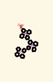 [O-]B([O-])[O-].c1ccc([P+](c2ccccc2)(c2ccccc2)c2ccccc2)cc1.c1ccc([P+](c2ccccc2)(c2ccccc2)c2ccccc2)cc1.c1ccc([P+](c2ccccc2)(c2ccccc2)c2ccccc2)cc1